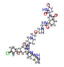 O=C1CCC(N2Cc3c(NC(=O)CNCCOCCN4CCC(NC(=O)C5(Cc6cccc(Nc7nccs7)n6)CCC(Oc6cccc(Cl)c6F)CC5)CC4)cccc3C2=O)C(=O)N1